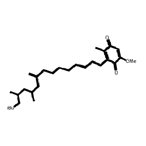 CCC(C)CC(C)CC(C)CC(C)CCCCCCCCC1=C(C)C(=O)C=C(OC)C1=O